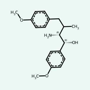 COc1ccc(CC(C)[C@@H](N)[C@H](O)c2ccc(OC)cc2)cc1